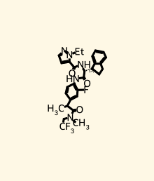 CCn1nccc1C(=O)NC(C(=O)Nc1ccc(C(C)C(=O)N(C)CC(F)(F)F)cc1F)[C@H]1CCc2ccccc21